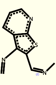 C=Nc1c(/C=N\C)sc2ncccc12